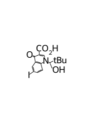 CC(C)(C)C(CO)n1cc(C(=O)O)c(=O)c2cc(I)ccc21